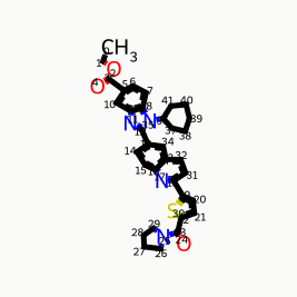 CCOC(=O)c1ccc2c(c1)nc(-c1ccc3nc(-c4ccc(C(=O)N5CCCC5)s4)ccc3c1)n2C1CCCCC1